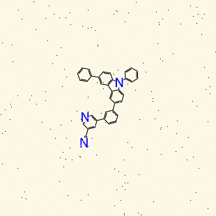 N#Cc1cncc(-c2cccc(-c3ccc4c(c3)c3cc(-c5ccccc5)ccc3n4-c3ccccc3)c2)c1